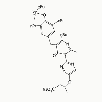 CCCCc1nc(C)n(-c2ncc(OC(C)CC(=O)OCC)cn2)c(=O)c1Cc1cc(CCC)c(O[Si](C)(C)C(C)(C)C)c(CCC)c1